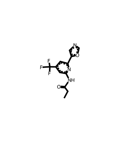 CCC(=O)Nc1cc(C(F)(F)F)cc(-c2cnco2)n1